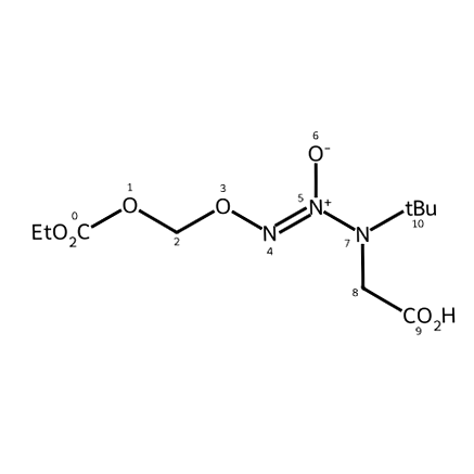 CCOC(=O)OCON=[N+]([O-])N(CC(=O)O)C(C)(C)C